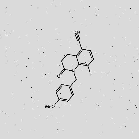 C#Cc1ccc(F)c2c1CCC(=O)N2Cc1ccc(OC)cc1